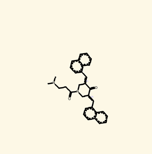 CN(C)CCC(=O)N1C/C(=C\c2cccc3ccccc23)C(=O)/C(=C/c2cccc3ccccc23)C1